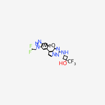 COc1nc(N[C@H]2C[C@](O)(C(F)(F)F)C2)nn2ccc(-c3ccc4nnn(CC(F)F)c4c3)c12